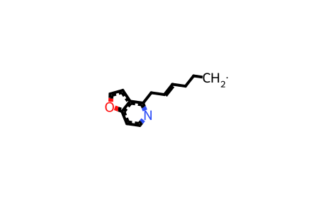 [CH2]CCC=CCc1nccc2occc12